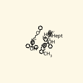 Br.CCCCCCCC.Cc1cccc(C[N+]23CCC(C(O)(c4ccccc4)c4ccccc4)(CC2)CC3)c1F.OC(c1ccccc1)(c1ccccc1)C12CC[N+](CCCCOCc3ccccc3)(CC1)CC2.[Br-].[Br-]